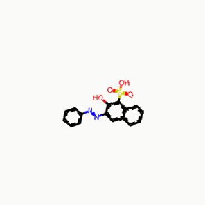 O=S(=O)(O)c1c(O)c(N=Nc2ccccc2)cc2ccccc12